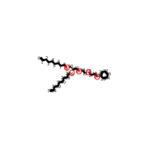 C=CCCCCCCCOC[C@@H](COCCOCCOc1ccccc1)OCCCCCCCC=C